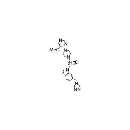 COc1cncnc1N1CCN(CCCn2ccc3ccc(Cn4cnnc4)cc32)CC1.Cl.Cl